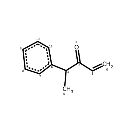 C=CC(=O)C(C)c1ccccc1